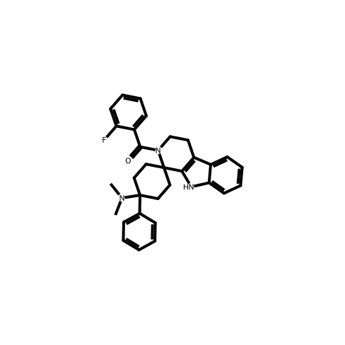 CN(C)C1(c2ccccc2)CCC2(CC1)c1[nH]c3ccccc3c1CCN2C(=O)c1ccccc1F